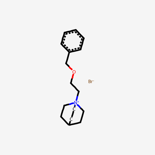 [Br-].c1ccc(COCC[N+]23CCC(CC2)CC3)cc1